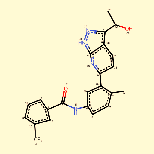 Cc1ccc(NC(=O)c2cccc(C(F)(F)F)c2)cc1-c1ccc2c(C(C)O)n[nH]c2n1